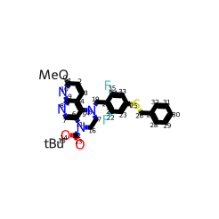 COc1ccc2c3c(cnc2n1)N(C(=O)OC(C)(C)C)CCN3Cc1c(F)cc(SCc2ccccc2)cc1F